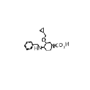 O=C(O)N1CCC(NCc2ccccc2)C(OCC2CC2)C1